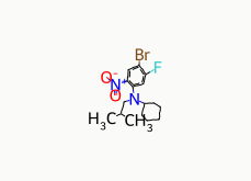 CC(C)CN(c1cc(F)c(Br)cc1[N+](=O)[O-])C1CCCCC1